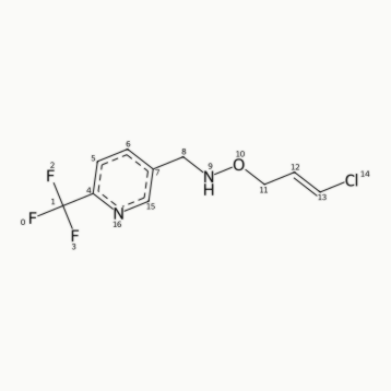 FC(F)(F)c1ccc(CNOCC=CCl)cn1